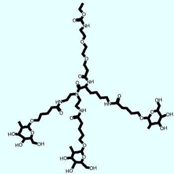 CCOC(=O)NCCOCCOCCC(=O)NC(CCCCNC(=O)CCCCOC1OC(CO)C(O)C(O)C1C)C(=O)N(CCNC(=O)CCCCOC1OC(CO)C(O)C(O)C1C)CCNC(=O)CCCCOC1OC(CO)C(O)C(O)C1C